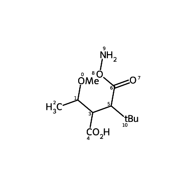 COC(C)C(C(=O)O)C(C(=O)ON)C(C)(C)C